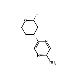 C[C@@H]1C[C@H](c2cnc(N)cn2)CCO1